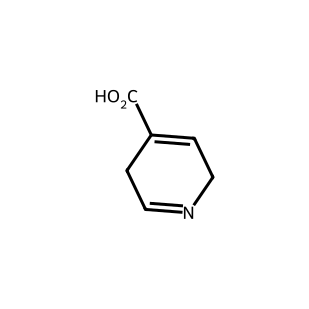 O=C(O)C1=CCN=CC1